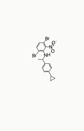 CC(Nc1c(Br)ccc(Br)c1[N+](=O)[O-])c1ccc(C2CC2)cc1